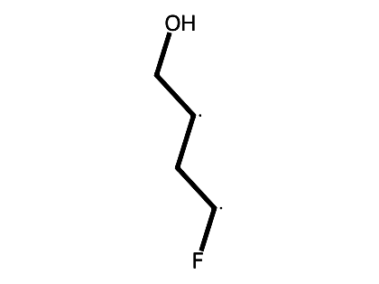 OC[CH]C[CH]F